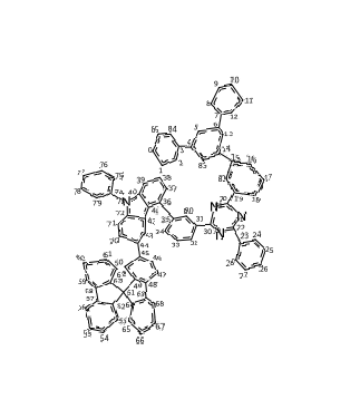 c1ccc(-c2cc(-c3ccccc3)cc(-c3cccc(-c4nc(-c5ccccc5)nc(-c5cccc(-c6cccc7c6c6cc(-c8ccc9c(c8)C8(c%10ccccc%10-c%10ccccc%108)c8ccccc8-9)ccc6n7-c6ccccc6)c5)n4)c3)c2)cc1